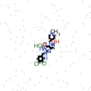 CN1CCC(O)(Cn2ncc3nc(NCc4ccc(Cl)c(Cl)c4)[nH]c(=O)c32)CC1.Cl